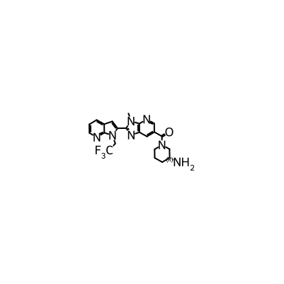 Cn1c(-c2cc3cccnc3n2CC(F)(F)F)nc2cc(C(=O)N3CCC[C@@H](N)C3)cnc21